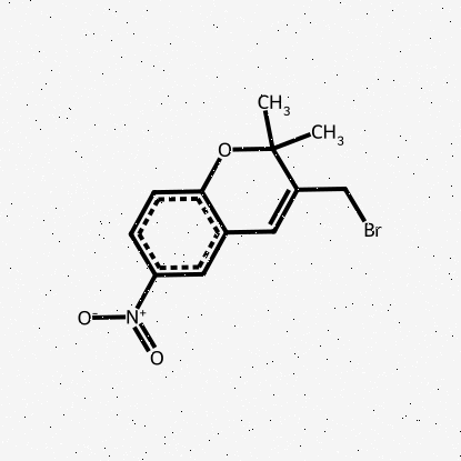 CC1(C)Oc2ccc([N+](=O)[O-])cc2C=C1CBr